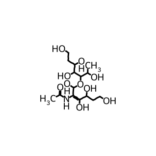 CC(=O)N/C(=C(\O)C(O)CCO)C(O)OC(C(C)O)C(O)C(O)CCO